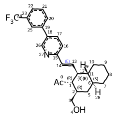 CC(=O)[C@H]1[C@H](CO)C[C@@H]2CCCC[C@H]2[C@@H]1/C=C/c1ccc(-c2cccc(C(F)(F)F)c2)cn1